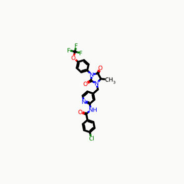 CC1C(=O)N(c2ccc(OC(F)(F)F)cc2)C(=O)N1Cc1ccnc(NC(=O)c2ccc(Cl)cc2)c1